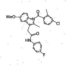 COc1ccc2c(c1)c(CC(=O)Nc1ccc(F)cc1)c(C)n2C(=O)c1ccc(Cl)cc1C